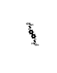 CC(C)(C)NCCOC1CCC(C2CCC(OCCNC(C)(C)C)CC2)CC1